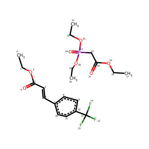 CCOC(=O)/C=C/c1ccc(C(F)(F)F)cc1.CCOC(=O)CP(=O)(OCC)OCC